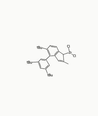 CC1=Cc2c(ccc(C(C)(C)C)c2-c2cc(C(C)(C)C)cc(C(C)(C)C)c2)[CH]1[Zr]([Cl])[Cl]